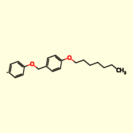 CCCCCCCOc1ccc(COc2cc[c]cc2)cc1